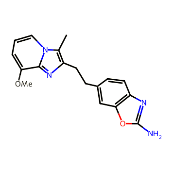 COc1cccn2c(C)c(CCc3ccc4nc(N)oc4c3)nc12